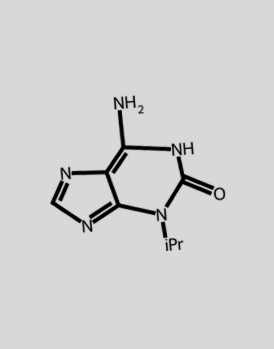 CC(C)n1c2ncnc-2c(N)[nH]c1=O